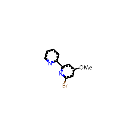 COc1cc(Br)nc(-c2ccccn2)c1